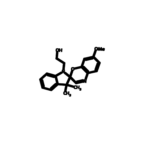 COc1ccc2c(c1)OC1(C=N2)N(CCO)c2ccccc2C1(C)C